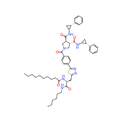 CCCCCCCCCC(=O)N[C@@H](Cc1nnc(-c2ccc(C(=O)N3C[C@@H](C(=O)N[C@H]4C[C@@H]4c4ccccc4)[C@H](C(=O)N[C@H]4C[C@@H]4c4ccccc4)C3)cc2)s1)C(=O)NCCCCCC